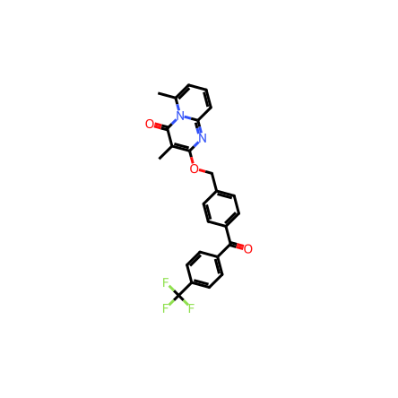 Cc1c(OCc2ccc(C(=O)c3ccc(C(F)(F)F)cc3)cc2)nc2cccc(C)n2c1=O